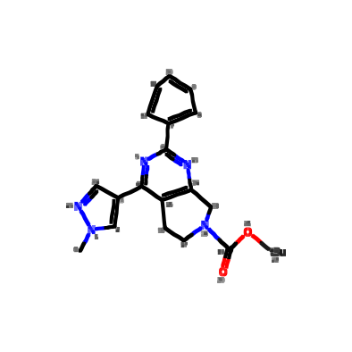 Cn1cc(-c2nc(-c3ccccc3)nc3c2CCN(C(=O)OC(C)(C)C)C3)cn1